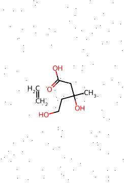 C=C.CC(O)(CCO)CC(=O)O